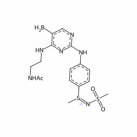 Bc1cnc(Nc2ccc(/S(C)=N\S(C)(=O)=O)cc2)nc1NCCNC(C)=O